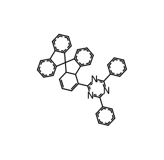 C1=CC2C(C(c3nc(-c4ccccc4)nc(-c4ccccc4)n3)=C1)c1ccccc1C21c2ccccc2-c2ccccc21